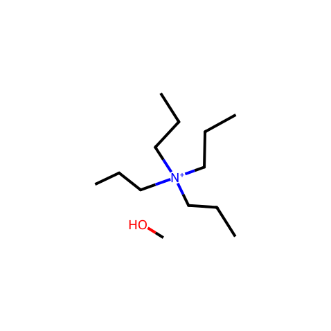 CCC[N+](CCC)(CCC)CCC.CO